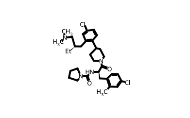 CC[C@@H](Cc1cc(Cl)ccc1C1CCN(C(=O)[C@@H](Cc2ccc(Cl)cc2C)NC(=O)N2CCCC2)CC1)CN(C)C